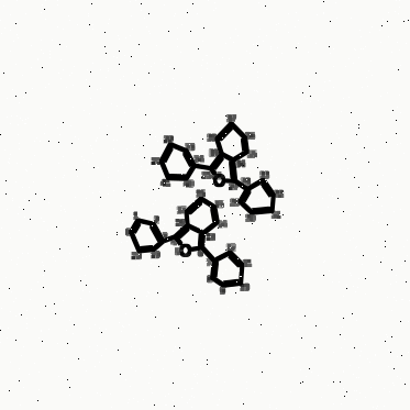 c1ccc(-c2oc(-c3ccccc3)c3ccccc23)cc1.c1ccc(-c2oc(-c3ccccc3)c3ccccc23)cc1